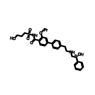 CC(C)Oc1cc(-c2ccc(CCNC[C@H](O)c3ccccc3)cc2)ccc1C(=O)NS(=O)(=O)CCCO